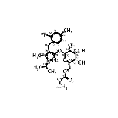 COC(=O)OC[C@H]1O[C@@H](Oc2nn(C(C)C)c(C)c2Cc2ccc(C)cc2F)[C@H](O)[C@@H](O)[C@@H]1O